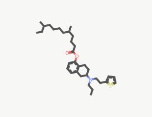 CCCN(CCc1cccs1)C1CCc2c(cccc2OC(=O)CCCC(C)CCCCC(C)CC)C1